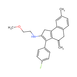 C=C1Cc2ccc(C)cc2C2=C1C(c1ccc(F)cc1)=C(NCCOC)C2